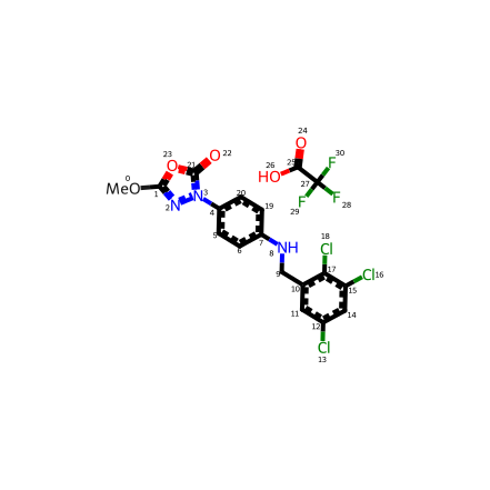 COc1nn(-c2ccc(NCc3cc(Cl)cc(Cl)c3Cl)cc2)c(=O)o1.O=C(O)C(F)(F)F